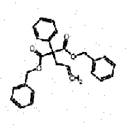 C=CCC(C(=O)OCc1ccccc1)(C(=O)OCc1ccccc1)c1ccccc1